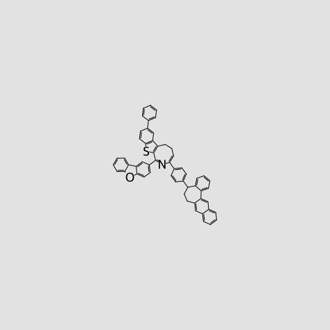 C1=C(c2ccc(C3CCc4cc5ccccc5cc4-c4ccccc43)cc2)\N=C(\c2ccc3oc4ccccc4c3c2)c2sc3ccc(-c4ccccc4)cc3c2CC/1